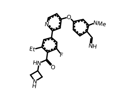 CCc1cc(-c2cc(Oc3ccc(C=N)c(NC)c3)ccn2)cc(F)c1C(=O)NC1CNC1